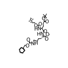 COC(=O)[C@H](CCCCNC(=O)OCc1ccccc1)NC(=O)C(CCC(=O)OC(C)(C)C)NC(=O)OCCS(C)(C)C